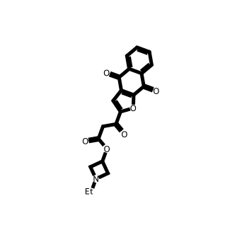 CCN1CC(OC(=O)CC(=O)c2cc3c(o2)C(=O)c2ccccc2C3=O)C1